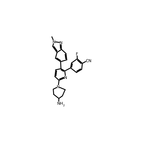 Cn1cc2cc(-c3ccc(N4CCC(N)CC4)nc3-c3ccc(C#N)c(F)c3)ccc2n1